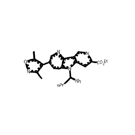 CCCC(CCC)n1c2cc(C(=O)OCC)ncc2c2ncc(-c3c(C)noc3C)cc21